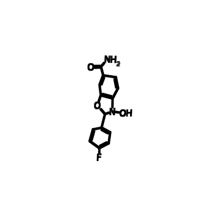 NC(=O)c1ccc2c(c1)OC(c1ccc(F)cc1)N2O